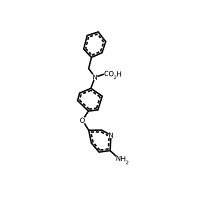 Nc1ccc(Oc2ccc(N(Cc3ccccc3)C(=O)O)cc2)cn1